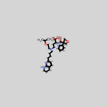 CC(C)OCCN(CCCCc1ccc2c(n1)NCCC2)CCC(NC(=O)C1(c2ccccc2)COC1)C(=O)O